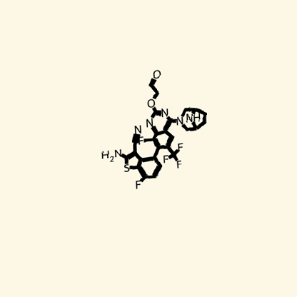 N#Cc1c(N)sc2c(F)ccc(-c3c(C(F)(F)F)cc4c(N5CC6CCC(C5)N6)nc(OCC=O)nc4c3F)c12